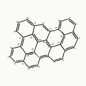 c1cc2ccc3ccc4c5ccc6cccc7c8cccc9cc%10c(c1)c2c3c4c%10c(c98)c5c67